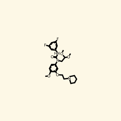 COc1ccc(N(CC(OC)OC)C(=O)Nc2cc(F)cc(F)c2)cc1OCCN1CCCCC1